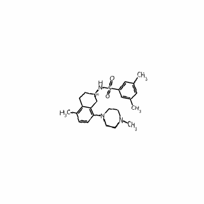 Cc1cc(C)cc(S(=O)(=O)N[C@@H]2CCc3c(C)ccc(N4CCN(C)CC4)c3C2)c1